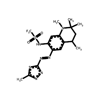 Cc1nnc(N=Nc2cc3c(cc2NS(=O)(=O)C(F)(F)F)N(C)C(C)(C)CC3C)s1